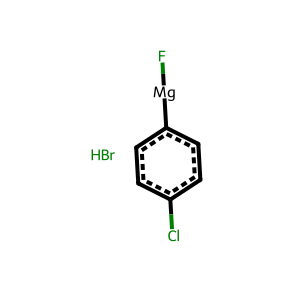 Br.[F][Mg][c]1ccc(Cl)cc1